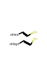 CCCCCCC=CS.CCCCCCCC=CS